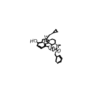 CN([C@H]1CC[C@H]2[C@H]3Cc4c(O)ccc5c4[C@@]2(CCN3CC2CC2)[C@H]1O5)S(=O)(=O)Cc1ccccc1